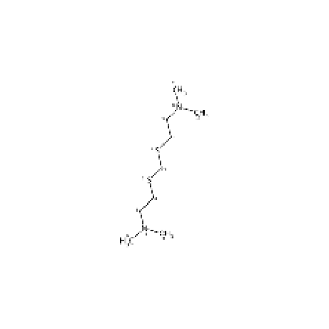 CN(C)CCS[CH]SCCN(C)C